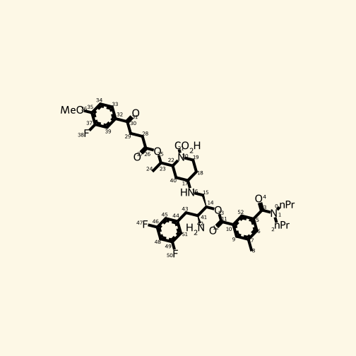 CCCN(CCC)C(=O)c1cc(C)cc(C(=O)O[C@H](CNC2CCN(C(=O)O)C(C(C)OC(=O)CCC(=O)c3ccc(OC)c(F)c3)C2)[C@@H](N)Cc2cc(F)cc(F)c2)c1